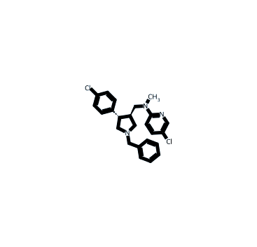 CN(C[C@H]1CN(Cc2ccccc2)C[C@@H]1c1ccc(Cl)cc1)c1ccc(Cl)cn1